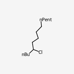 CCCCCCCCCC(Cl)CCCC